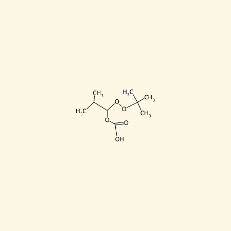 CC(C)C(OOC(C)(C)C)OC(=O)O